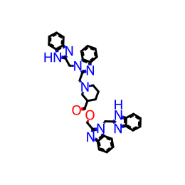 O=C(OCc1nc2ccccc2n1Cc1nc2ccccc2[nH]1)C1CCCN(Cc2nc3ccccc3n2Cc2nc3ccccc3[nH]2)C1